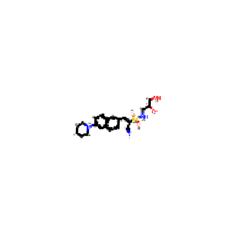 N#C/C(=C\c1ccc2cc(N3CCCCC3)ccc2c1)S(=O)(=O)NCC(O)CO